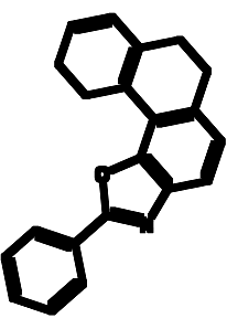 C1=CC2=C(CC1)c1c(ccc3nc(-c4ccccc4)oc13)CC2